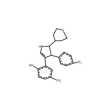 Cc1ccc(O)c(C2=CNC(C3CCOCC3)C2c2ccc(C(F)(F)F)cc2)c1